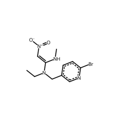 CCN(Cc1ccc(Br)nc1)C(=C[N+](=O)[O-])NC